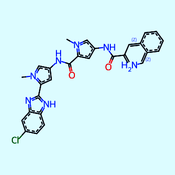 C=C(/C=c1/cccc/c1=C/N)C(=O)Nc1cc(C(=O)Nc2cc(-c3nc4cc(Cl)ccc4[nH]3)n(C)c2)n(C)c1